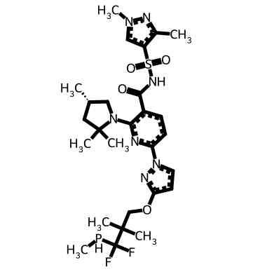 CPC(F)(F)C(C)(C)COc1ccn(-c2ccc(C(=O)NS(=O)(=O)c3cn(C)nc3C)c(N3C[C@@H](C)CC3(C)C)n2)n1